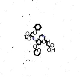 O=C(O)CCC/C=C\C[C@@H]1[C@@H](/C=C/C2(COc3ccccc3)OCCO2)[C@H](OC2CCCCO2)C[C@@H]1O